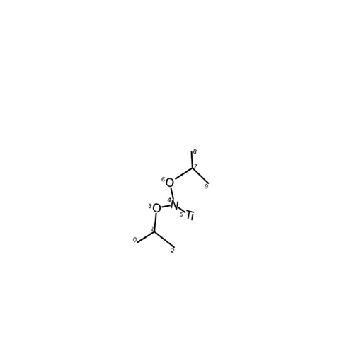 CC(C)O[N]([Ti])OC(C)C